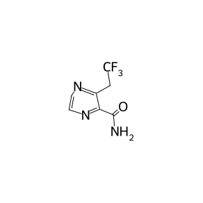 NC(=O)c1nccnc1CC(F)(F)F